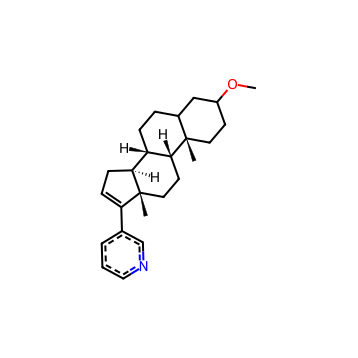 COC1CC[C@@]2(C)C(CC[C@@H]3[C@H]2CC[C@]2(C)C(c4cccnc4)=CC[C@@H]32)C1